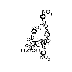 C[C@@H](O)[C@H]1C(=O)N2C(C(=O)OCc3ccc([N+](=O)[O-])cc3)=C(S[C@H]3C[C@@H](C(=O)N4CCN(CCOC(=O)OCc5ccc([N+](=O)[O-])cc5)CC4)N(C(=O)OCc4ccc([N+](=O)[O-])cc4)C3)[C@H](C)[C@H]12